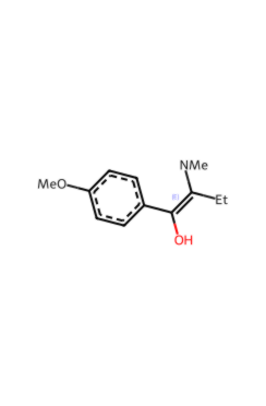 CC/C(NC)=C(\O)c1ccc(OC)cc1